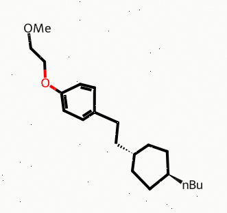 CCCC[C@H]1CC[C@H](CCc2ccc(OCCOC)cc2)CC1